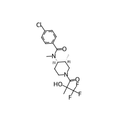 C[C@@H]1CN(C(=O)C(C)(O)C(F)(F)F)CC[C@@H]1N(C)C(=O)c1ccc(Cl)cc1